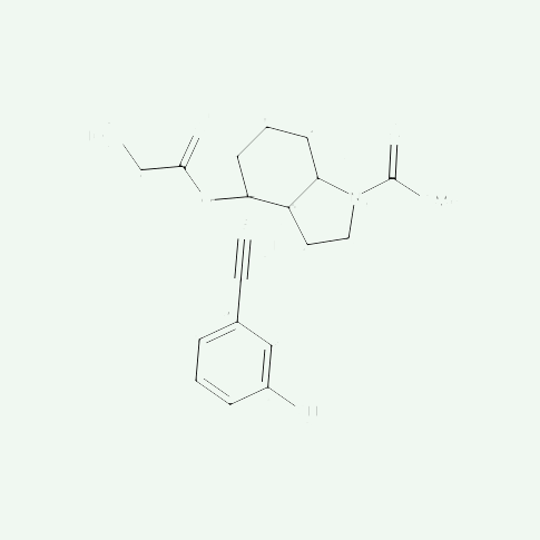 COC(=O)N1CC[C@@H]2[C@H]1CCC[C@]2(C#Cc1cccc(C)c1)OC(=O)CC(=O)O